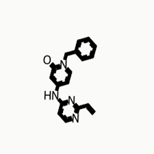 C=Cc1nccc(Nc2ccn(Cc3ccccc3)c(=O)c2)n1